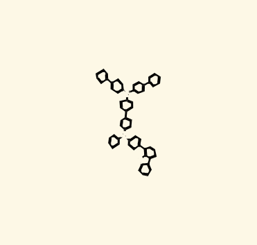 c1ccc(-c2ccc(N(c3ccc(-c4ccccc4)cc3)c3ccc(-c4ccc(N(c5ccccc5)c5ccc(-c6cccc7c6sc6ccccc67)cc5)cc4)cc3)cc2)cc1